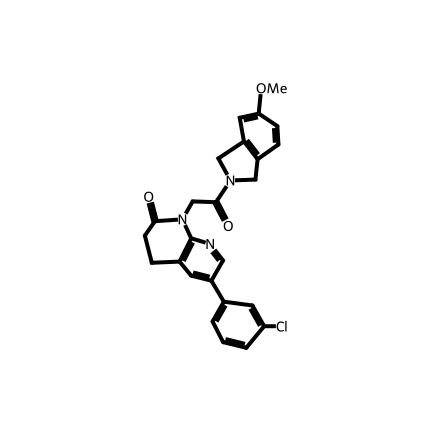 COc1ccc2c(c1)CN(C(=O)CN1C(=O)CCc3cc(-c4cccc(Cl)c4)cnc31)C2